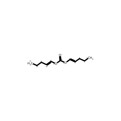 CCCC=COC(=O)OC=CCCC